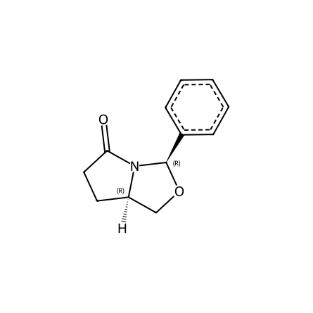 O=C1CC[C@@H]2CO[C@H](c3ccccc3)N12